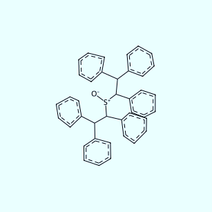 [O-][S+](C(c1ccccc1)C(c1ccccc1)c1ccccc1)C(c1ccccc1)C(c1ccccc1)c1ccccc1